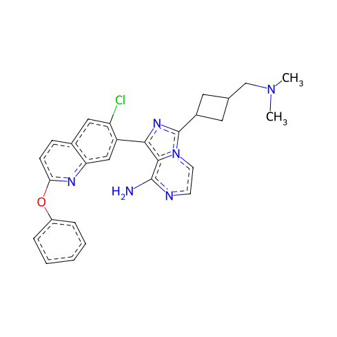 CN(C)CC1CC(c2nc(-c3cc4nc(Oc5ccccc5)ccc4cc3Cl)c3c(N)nccn23)C1